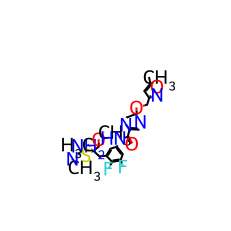 C/N=C(/N)S[C@@](C)(COC)Cc1cc(NC(=O)c2cnc(OCc3cc(C)on3)cn2)cc(F)c1F